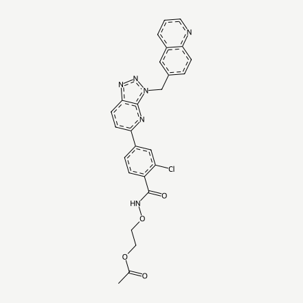 CC(=O)OCCONC(=O)c1ccc(-c2ccc3nnn(Cc4ccc5ncccc5c4)c3n2)cc1Cl